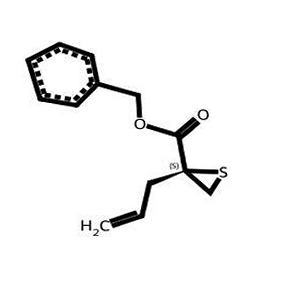 C=CC[C@]1(C(=O)OCc2ccccc2)CS1